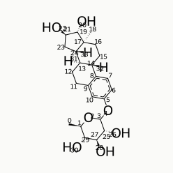 C[C@H]1OC(Oc2ccc3c(c2)CC[C@@H]2[C@@H]3CC[C@]3(C)[C@@H](O)[C@H](O)C[C@@H]23)[C@H](O)[C@@H](O)[C@@H]1O